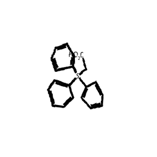 O=C(O)CS(c1ccccc1)(c1ccccc1)c1ccccc1